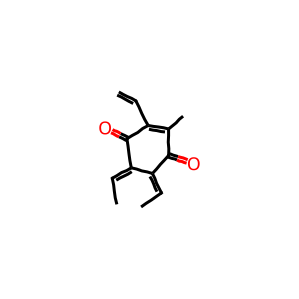 C=CC1=C(C)C(=O)C(=C/C)/C(=C\C)C1=O